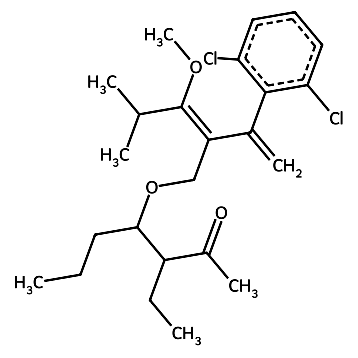 C=C(/C(COC(CCC)C(CC)C(C)=O)=C(\OC)C(C)C)c1c(Cl)cccc1Cl